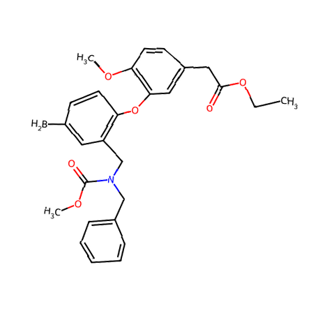 Bc1ccc(Oc2cc(CC(=O)OCC)ccc2OC)c(CN(Cc2ccccc2)C(=O)OC)c1